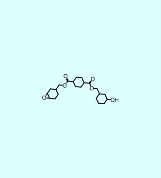 O=C(OCC1CCCC(O)C1)C1CCC(C(=O)OCC2CCC3OC3C2)CC1